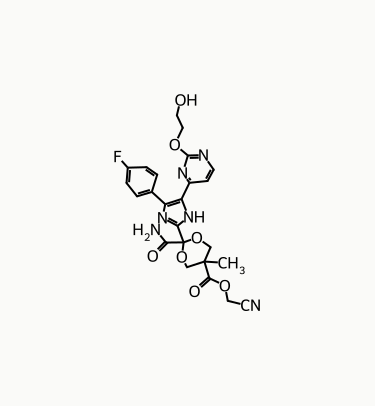 CC1(C(=O)OCC#N)COC(C(N)=O)(c2nc(-c3ccc(F)cc3)c(-c3ccnc(OCCO)n3)[nH]2)OC1